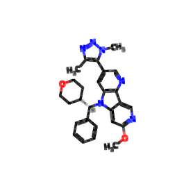 COc1cc2c(cn1)c1ncc(-c3c(C)nnn3C)cc1n2[C@H](c1ccccc1)C1CCOCC1